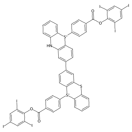 O=C(Oc1c(I)cc(I)cc1I)c1ccc([S+]2c3ccccc3Nc3cc(-c4ccc5c(c4)Sc4ccccc4[S+]5c4ccc(C(=O)Oc5c(I)cc(I)cc5I)cc4)ccc32)cc1